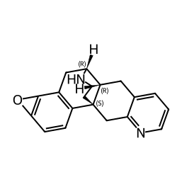 c1cnc2c(c1)C[C@H]1[C@H]3Cc4c(ccc5c4O5)[C@@]1(CCN3)C2